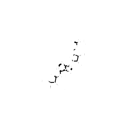 C[C@@H](O)[C@H](N)C(=O)Nc1ncnc2c1ncn2[C@@H]1O[C@H](COC(N)=O)[C@@H](O)[C@H]1O